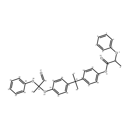 CC(Oc1ccccc1)C(=O)Oc1ccc(C(C)(C)c2ccc(OC(C)(C=O)Oc3ccccc3)cc2)cc1